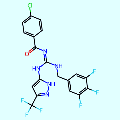 O=C(/N=C(/NCc1cc(F)c(F)c(F)c1)Nc1cc(C(F)(F)F)n[nH]1)c1ccc(Cl)cc1